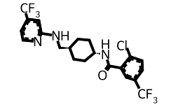 O=C(N[C@H]1CC[C@H](CNc2cc(C(F)(F)F)ccn2)CC1)c1cc(C(F)(F)F)ccc1Cl